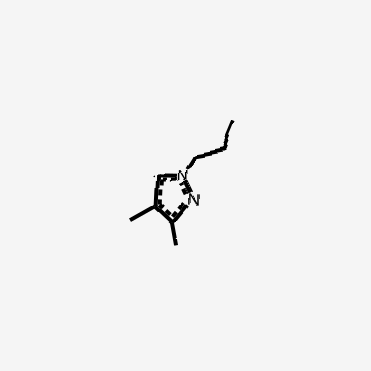 CCCn1[c]c(C)c(C)n1